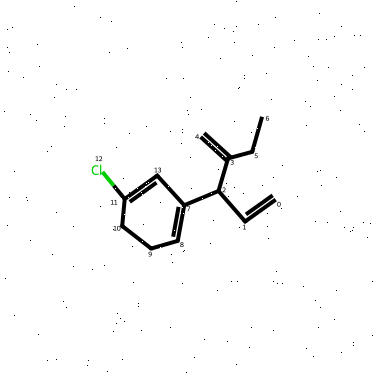 C=CC(C(=C)CC)C1=CCCC(Cl)=C1